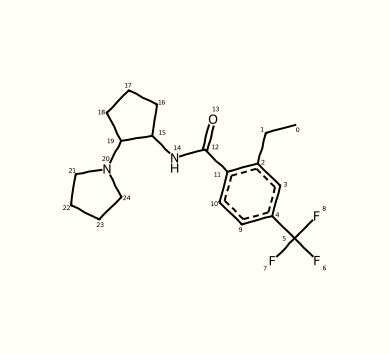 CCc1cc(C(F)(F)F)ccc1C(=O)NC1CCCC1N1CCCC1